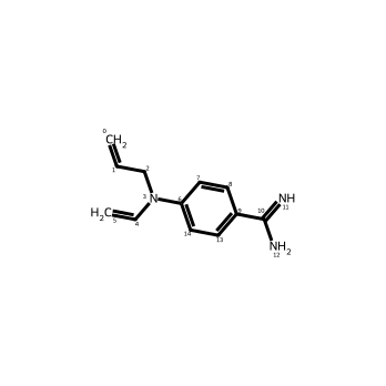 C=CCN(C=C)c1ccc(C(=N)N)cc1